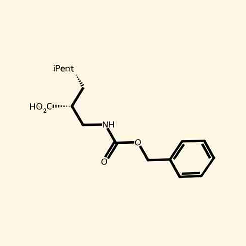 CCC[C@@H](C)C[C@H](CNC(=O)OCc1ccccc1)C(=O)O